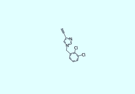 [C]#Cc1cn(Cc2cccc(Cl)c2Cl)cn1